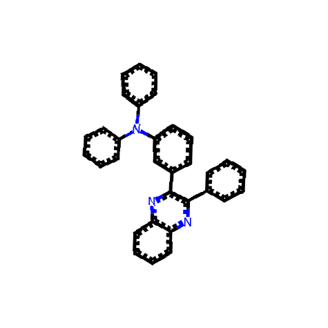 c1ccc(-c2nc3ccccc3nc2-c2cccc(N(c3ccccc3)c3ccccc3)c2)cc1